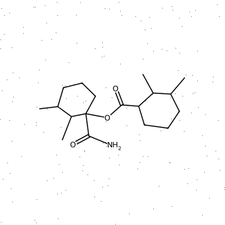 CC1CCCC(C(=O)OC2(C(N)=O)CCCC(C)C2C)C1C